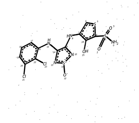 NS(=O)(=O)c1scc(Nc2n[s+]([O-])nc2Nc2cccc(Cl)c2Cl)c1O